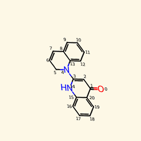 O=c1cc(N2CC=Cc3ccccc32)[nH]c2ccccc12